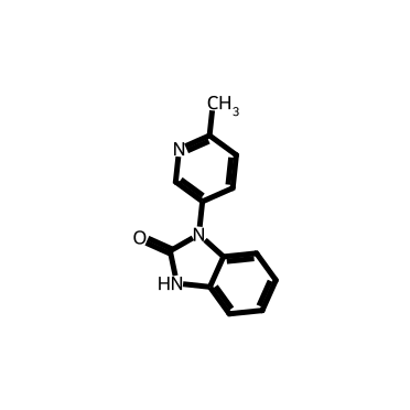 Cc1ccc(-n2c(=O)[nH]c3ccccc32)cn1